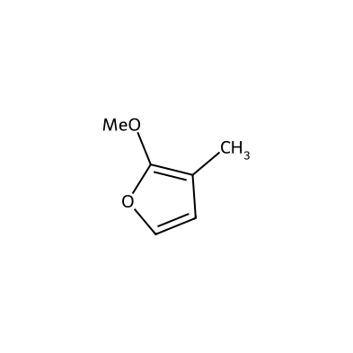 COc1occc1C